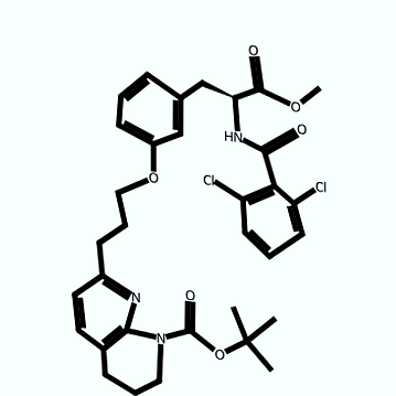 COC(=O)[C@H](Cc1cccc(OCCCc2ccc3c(n2)N(C(=O)OC(C)(C)C)CCC3)c1)NC(=O)c1c(Cl)cccc1Cl